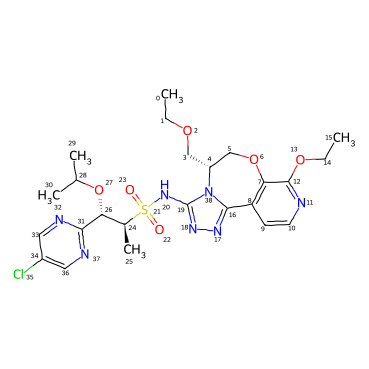 CCOC[C@@H]1COc2c(ccnc2OCC)-c2nnc(NS(=O)(=O)[C@@H](C)[C@@H](OC(C)C)c3ncc(Cl)cn3)n21